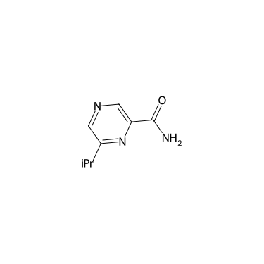 CC(C)c1cncc(C(N)=O)n1